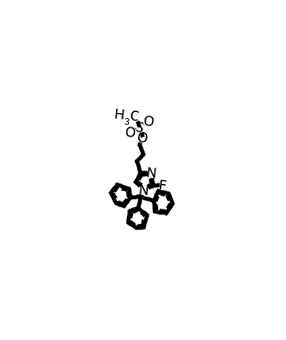 CS(=O)(=O)OCCCc1cn(C(c2ccccc2)(c2ccccc2)c2ccccc2)c(F)n1